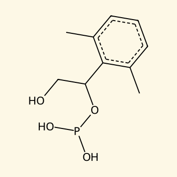 Cc1cccc(C)c1C(CO)OP(O)O